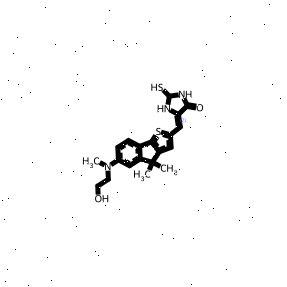 CN(CCO)c1ccc2c(c1)C(C)(C)c1cc(/C=C3\NC(S)NC3=O)sc1-2